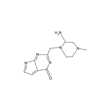 CN1CCN(CC2=NC(=O)C3=CC=NC3=N2)C(N)C1